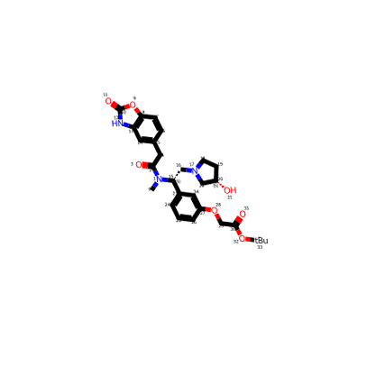 CN(C(=O)Cc1ccc2oc(=O)[nH]c2c1)[C@H](CN1CC[C@H](O)C1)c1cccc(OCC(=O)OC(C)(C)C)c1